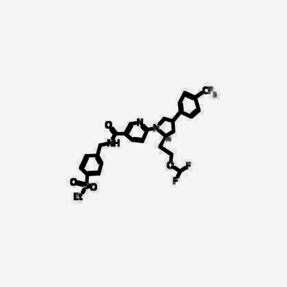 CCS(=O)(=O)c1ccc(CNC(=O)c2ccc(N3CC(c4ccc(C(F)(F)F)cc4)C[C@H]3CCOC(F)F)nc2)cc1